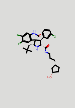 CC(C)(C)C[C@H]1N[C@@H](C(=O)NCCC[C@@H]2CC[C@H](O)C2)[C@H](c2cccc(Cl)c2)[C@@]12C(=O)Nc1cc(Cl)c(F)cc12